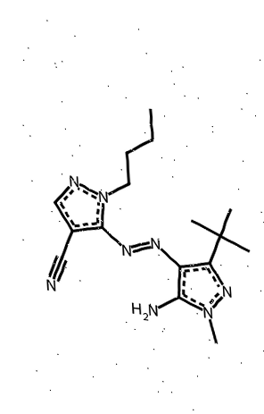 CCCCn1ncc(C#N)c1N=Nc1c(C(C)(C)C)nn(C)c1N